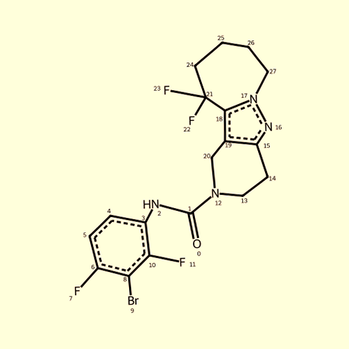 O=C(Nc1ccc(F)c(Br)c1F)N1CCc2nn3c(c2C1)C(F)(F)CCCC3